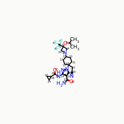 CC(C)OC1(C(F)(F)F)CN(C2CCC(CC#N)(n3cc(C(N)=O)c(NC(=O)C4CC4)n3)CC2)C1